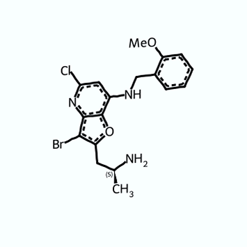 COc1ccccc1CNc1cc(Cl)nc2c(Br)c(C[C@H](C)N)oc12